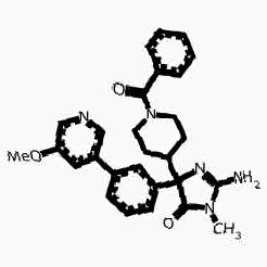 COc1cncc(-c2cccc(C3(C4CCN(C(=O)c5ccccc5)CC4)N=C(N)N(C)C3=O)c2)c1